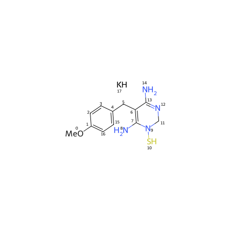 COc1ccc(CC2=C(N)N(S)CN=C2N)cc1.[KH]